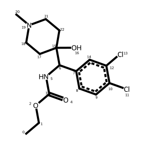 CCOC(=O)NC(c1ccc(Cl)c(Cl)c1)C1(O)CCN(C)CC1